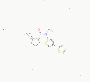 CN(C(=O)[C@@H]1CCC[C@H]1C(=O)O)c1cc(-c2cccs2)cs1